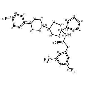 O=C(Cc1cc(C(F)(F)F)cc(C(F)(F)F)c1)NC1(c2ccccc2)CCC(N2CCC(c3ccc(F)cc3)CC2)CC1